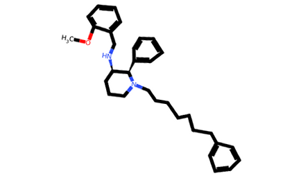 COc1ccccc1CN[C@@H]1CCCN(CCCCCCCc2ccccc2)[C@@H]1c1ccccc1